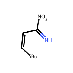 CCC(C)/C=C\C(=N)[N+](=O)[O-]